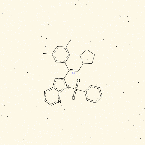 Cc1cc(C)cc(/C(=C\C2CCCC2)c2cc3cccnc3n2S(=O)(=O)c2ccccc2)c1